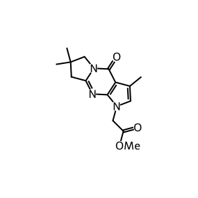 COC(=O)Cn1cc(C)c2c(=O)n3c(nc21)CC(C)(C)C3